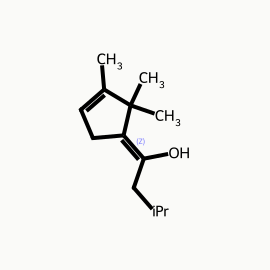 CC1=CC/C(=C(/O)CC(C)C)C1(C)C